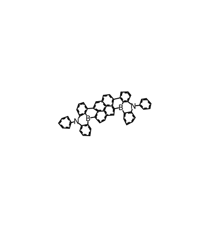 c1ccc(N2c3ccccc3B3c4c(cccc42)-c2cc4ccc5c6c(cc7ccc3c2c7c46)B2c3ccccc3N(c3ccccc3)c3cccc-5c32)cc1